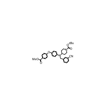 COC(=O)c1ccc(Oc2ccc(N(Cc3cccc(C#N)c3)C3CCN(C(=O)OC(C)(C)C)CC3)cc2)cc1